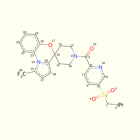 CC(C)CS(=O)(=O)c1ccc(C(=O)N2CCC3(CC2)Oc2ccccc2-n2c(C(F)(F)F)ccc23)nc1